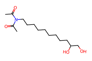 CC(=O)N(CCCCCCCCCC(O)CO)C(C)=O